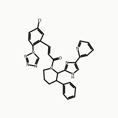 O=C(/C=C/c1cc(Cl)ccc1-n1cnnn1)N1CCCC(c2ccccc2)C1c1nc(-c2ccccn2)c[nH]1